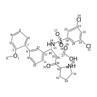 COc1ccccc1-c1cccc([C@H](NS(=O)(=O)c2cc(Cl)cc(Cl)c2)[C@H](C(=O)O)C(=O)C2CCCN2)c1